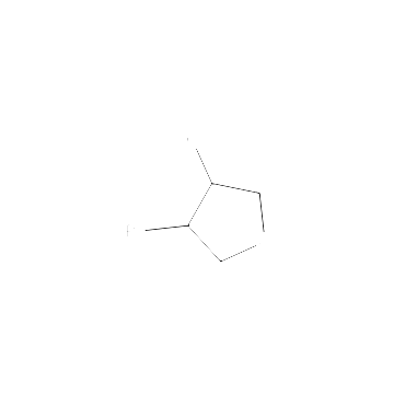 CC(C)C1COCC1C